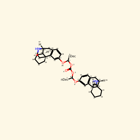 CCCCCCCCCCC(OC(=O)OC(CCCCCCCCCC)Oc1ccc2c(c1)[C@@]13CCCC[C@H]1[C@@H](C2)NCC3)Oc1ccc2c(c1)[C@@]13CCCC[C@H]1[C@@H](C2)NCC3